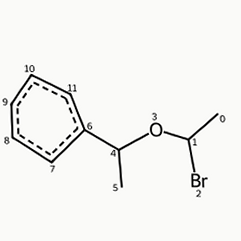 CC(Br)OC(C)c1ccccc1